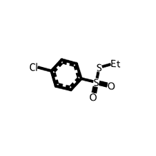 CCSS(=O)(=O)c1ccc(Cl)cc1